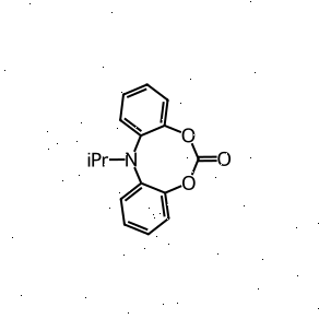 CC(C)n1c2ccccc2oc(=O)oc2ccccc21